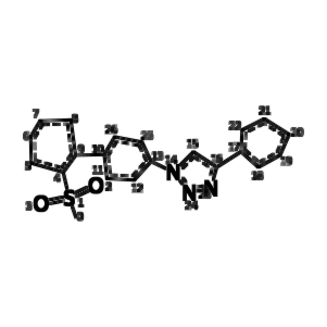 CS(=O)(=O)c1ccccc1-c1ccc(-n2cc(-c3ccccc3)nn2)cc1